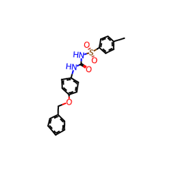 Cc1ccc(S(=O)(=O)NC(=O)Nc2ccc(OCc3ccccc3)cc2)cc1